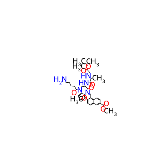 COC(=O)c1ccc2c(CN3C(=O)[C@@H](NC(=O)[C@H](C)NCC(=O)OC(C)(C)C)CN(C(=O)CCCCN)c4ccccc43)c(OC)ccc2c1